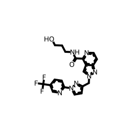 O=C(NCCCO)c1nccc2nn(Cc3ccn(-c4ccc(C(F)(F)F)cn4)n3)cc12